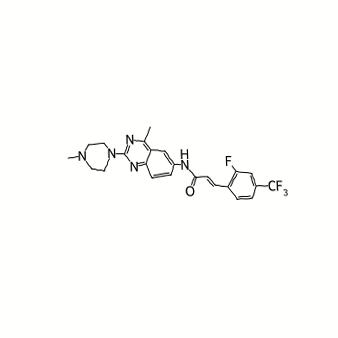 Cc1nc(N2CCN(C)CC2)nc2ccc(NC(=O)C=Cc3ccc(C(F)(F)F)cc3F)cc12